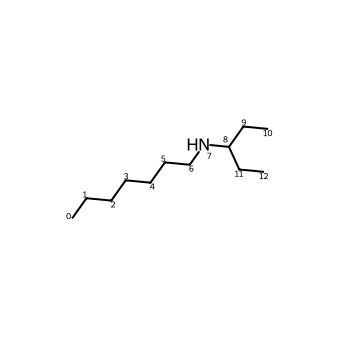 CCCCCCCNC(CC)CC